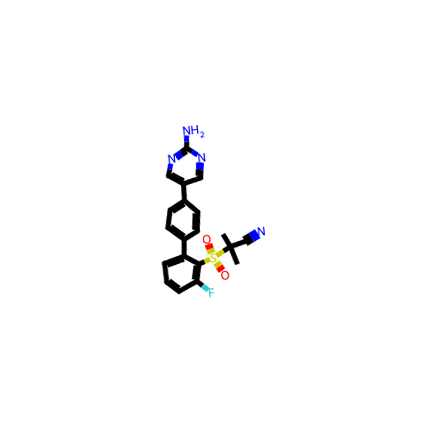 CC(C)(C#N)S(=O)(=O)c1c(F)cccc1-c1ccc(-c2cnc(N)nc2)cc1